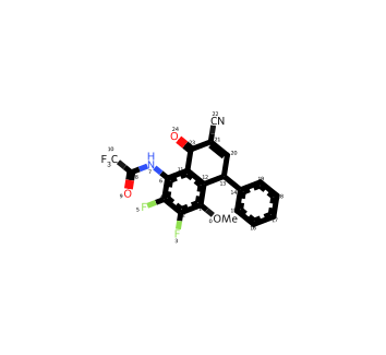 COc1c(F)c(F)c(NC(=O)C(F)(F)F)c2c1C(c1ccccc1)C=C(C#N)C2=O